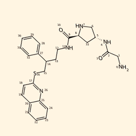 NCC(=O)N[C@H]1CN[C@H](C(=O)NCCC(CSc2ccc3ccccc3n2)c2ccccc2)C1